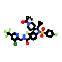 CC(=O)N1CCC2(CC1)c1c(ccc(C(=O)NCc3ncc(C(F)(F)F)cc3Cl)c1F)N(S(=O)(=O)c1ccc(F)cc1)C2C1CC1